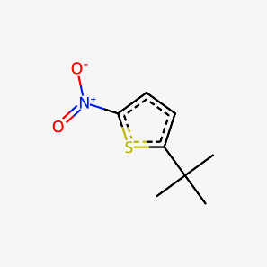 CC(C)(C)c1ccc([N+](=O)[O-])s1